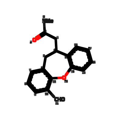 CNC(=O)CC1Cc2cccc(C=O)c2Oc2ccccc21